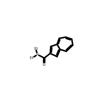 CCN(CC)C(=O)c1cc2cccccc-2c1